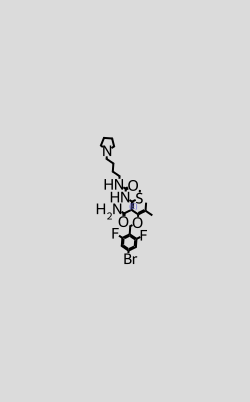 CS/C(NC(=O)NCCCCN1CCCC1)=C(/C(N)=O)C(OCc1c(F)cc(Br)cc1F)=C(C)C